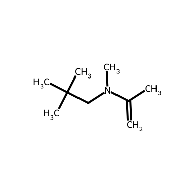 C=C(C)N(C)CC(C)(C)C